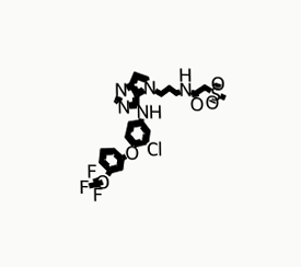 CS(=O)(=O)CC(=O)NCCCn1ccc2ncnc(Nc3ccc(Oc4cccc(OC(F)(F)F)c4)c(Cl)c3)c21